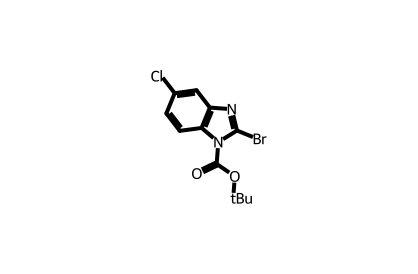 CC(C)(C)OC(=O)n1c(Br)nc2cc(Cl)ccc21